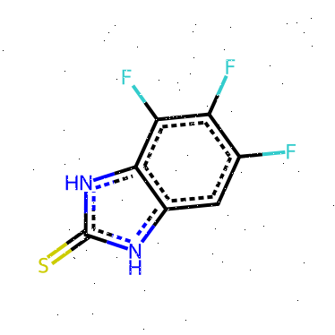 Fc1cc2[nH]c(=S)[nH]c2c(F)c1F